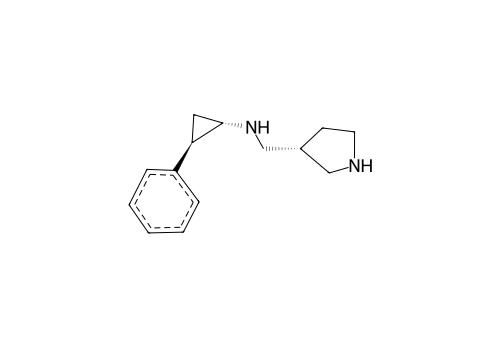 c1ccc([C@H]2C[C@@H]2NC[C@@H]2CCNC2)cc1